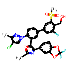 Cc1nc(-c2ccc3c(c2)OC(F)(F)O3)c(-c2cc(-c3cc(F)c(CO)c(S(C)(=O)=O)c3)ccc2-n2cc(Cl)c(C(F)(F)F)n2)o1